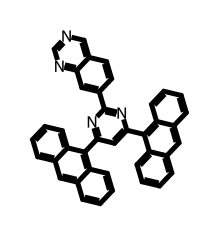 c1ccc2c(-c3cc(-c4c5ccccc5cc5ccccc45)nc(-c4ccc5cncnc5c4)n3)c3ccccc3cc2c1